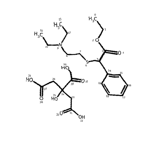 CCOC(=O)C(SCCN(CC)CC)c1ccccc1.O=C(O)CC(O)(CC(=O)O)C(=O)O